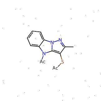 CC(=O)Sc1c(C)nn2c3ccccc3n(C(C)=O)c12